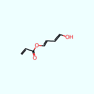 C=CC(=O)OC=CC=CO